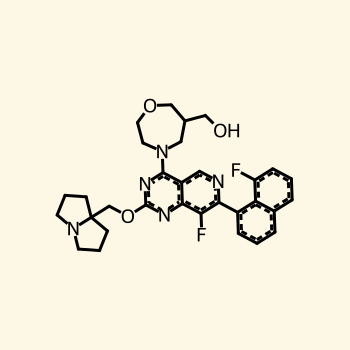 OCC1COCCN(c2nc(OCC34CCCN3CCC4)nc3c(F)c(-c4cccc5cccc(F)c45)ncc23)C1